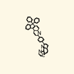 C1=CC2C3=C(C=CC2N=C1c1ccc(-c2ccc4ccc5cccnc5c4n2)cc1)C(c1ccccc1)(c1ccccc1)c1ccccc13